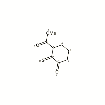 COC(=O)C1CCCC(=O)C1=S